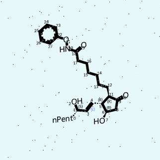 CCCCC[C@H](O)/C=C/[C@H]1[C@H](O)CC(=O)[C@@H]1CCCCCCC(=O)NOc1ccccc1